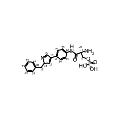 C[C@](N)(COP(=O)(O)O)C(=O)Nc1ccc(C2=CC(Cc3ccccc3)N=C2)cc1